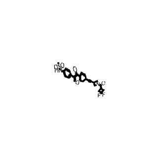 CS(=O)(=O)Nc1ccc(-c2coc3cc(C#CC4CN(C(=O)C5CC(F)(F)C5)C4)ccc3c2=O)cc1